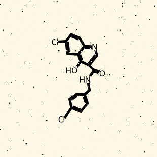 O=C(NCc1ccc(Cl)cc1)c1cnc2ccc(Cl)cc2c1O